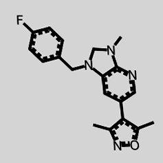 Cc1noc(C)c1-c1cnc2c(c1)N(Cc1ccc(F)cc1)CN2C